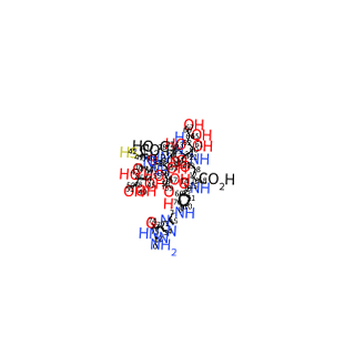 Nc1nc2ncc(CNc3ccc(C(=O)N[C@@H](CCC(=O)NC(C(=O)N[C@@H](CC(=O)O)C(=O)NC(C(=O)N[C@H](C(=O)N[C@@H](CS)C(=O)O)[C@@H](O)[C@H](O)[C@H](O)CO)[C@@H](O)[C@H](O)[C@H](O)CO)[C@@H](O)[C@H](O)[C@H](O)CO)C(=O)O)cc3)nc2c(=O)[nH]1